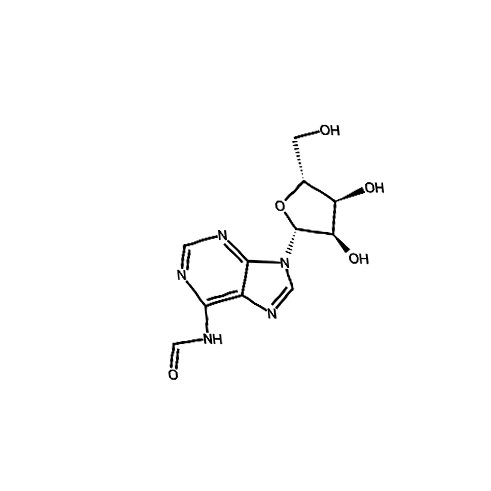 O=CNc1ncnc2c1ncn2[C@@H]1O[C@H](CO)[C@@H](O)[C@H]1O